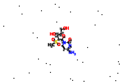 CS(=O)(=O)C1[C@H](n2ccc(N)nc2=O)O[C@H](CO)[C@H]1O